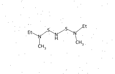 CCN(C)SNSN(C)CC